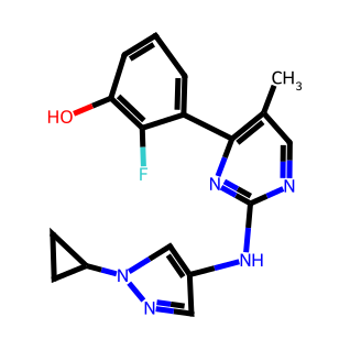 Cc1cnc(Nc2cnn(C3CC3)c2)nc1-c1cccc(O)c1F